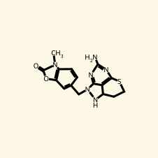 Cn1c(=O)oc2cc(CN3NC4CCSc5nc(N)nc3c54)ccc21